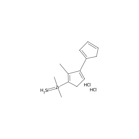 CC1=[C]([Zr]([CH3])([CH3])=[SiH2])CC=C1C1=CC=CC1.Cl.Cl